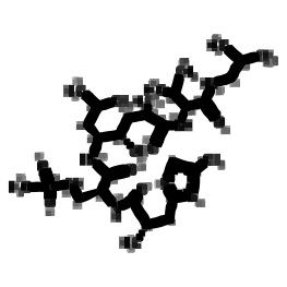 Cc1csc(C[C@H](C)C(=O)N[C@@H](CNS(C)(=O)=O)C(=O)N[C@@H](CC(C)C)[C@@H](O)C[C@@H](C)C(=O)N[C@H](C(=O)NCC(C)C)C(C)C)n1